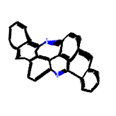 c1ccc2c(c1)cc1ccc3nc4c5ccccc5cc5ccc6nc2c1c3c6c54